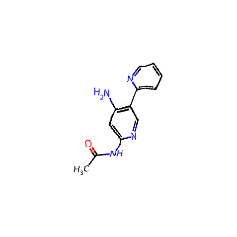 CC(=O)Nc1cc(N)c(-c2ccccn2)cn1